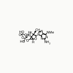 C#C[C@]1(F)[C@H](n2cnc3c(NC)nc(N)nc32)O[C@@H]2C(OP(=O)(O)OP(=O)(O)O)[C@@]21O